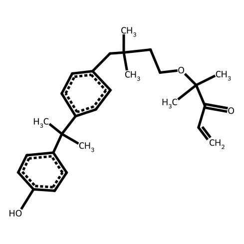 C=CC(=O)C(C)(C)OCCC(C)(C)Cc1ccc(C(C)(C)c2ccc(O)cc2)cc1